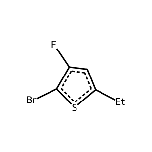 CCc1cc(F)c(Br)s1